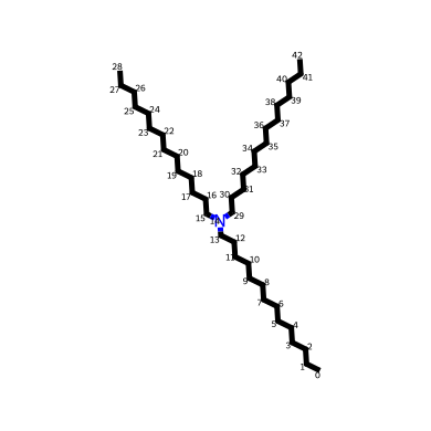 CCCCCCCCCCCCCCN(CCCCCCCCCCCCCC)CCCCCCCCCCCCCC